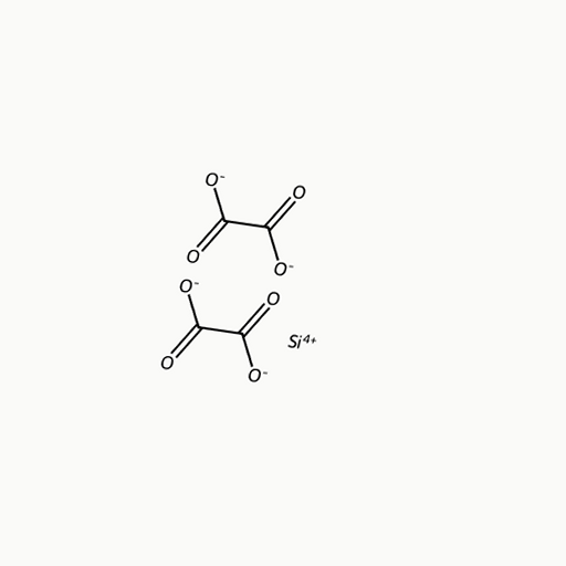 O=C([O-])C(=O)[O-].O=C([O-])C(=O)[O-].[Si+4]